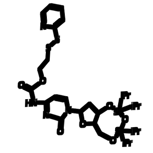 CC(C)[Si]1(C(C)C)OCC2OC(n3ccc(NC(=O)OCCSSc4ccccn4)nc3=O)CC2O[Si](C(C)C)(C(C)C)O1